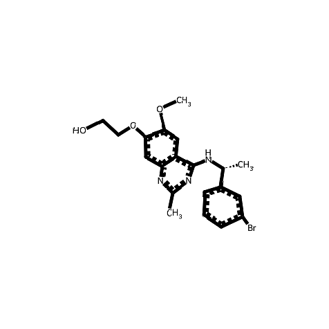 COc1cc2c(N[C@H](C)c3cccc(Br)c3)nc(C)nc2cc1OCCO